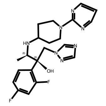 C[C@@H](NC1CCN(c2ncccn2)CC1)[C@](O)(Cn1cncn1)c1ccc(F)cc1F